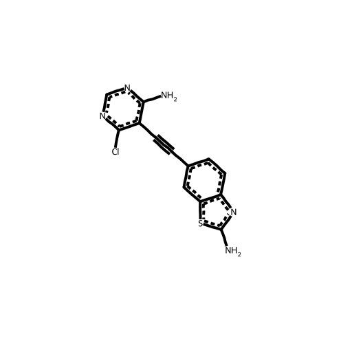 Nc1nc2ccc(C#Cc3c(N)ncnc3Cl)cc2s1